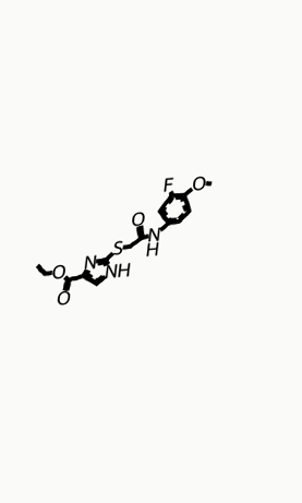 CCOC(=O)c1c[nH]c(SCC(=O)Nc2ccc(OC)c(F)c2)n1